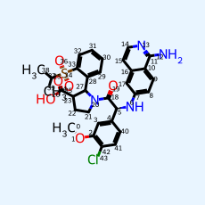 COc1cc([C@H](Nc2ccc3c(N)nccc3c2)C(=O)N2CCC(C(=O)O)C2c2ccccc2S(=O)(=O)C(C)C)ccc1Cl